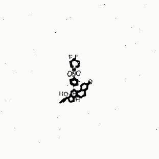 CC#C[C@]1(O)CC[C@H]2[C@@H]3CCC4=CC(=O)CCC4=C3[C@@H](c3ccc(S(=O)(=O)N4CCC(F)(F)CC4)cc3)C[C@@]21C